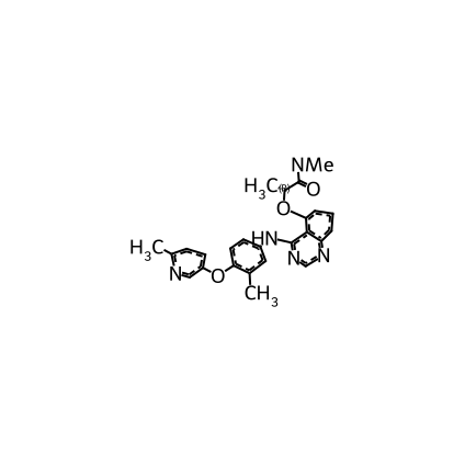 CNC(=O)[C@@H](C)Oc1cccc2ncnc(Nc3ccc(Oc4ccc(C)nc4)c(C)c3)c12